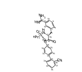 CCCS(=O)(=O)N[C@@H](Cc1cccc(C(=N)N)c1)C(=O)Oc1ccc(-c2ccccc2C#N)cc1